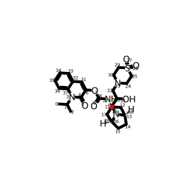 CC(C)n1c(=O)c(OC(=O)N[C@@H]2C[C@H]3CC[C@@H](C2)N3CC(O)CN2CCS(=O)(=O)CC2)cc2ccccc21